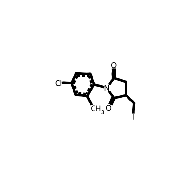 Cc1cc(Cl)ccc1N1C(=O)CC(CI)C1=O